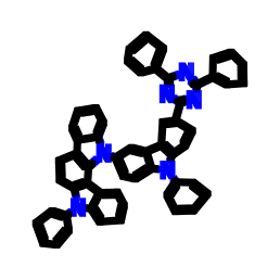 c1ccc(-c2nc(-c3ccccc3)nc(-c3ccc4c(c3)c3cc(-n5c6ccccc6c6ccc7c(c8ccccc8n7-c7ccccc7)c65)ccc3n4-c3ccccc3)n2)cc1